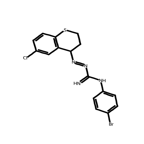 N=C(N=NC1CCSc2ccc(Cl)cc21)Nc1ccc(Br)cc1